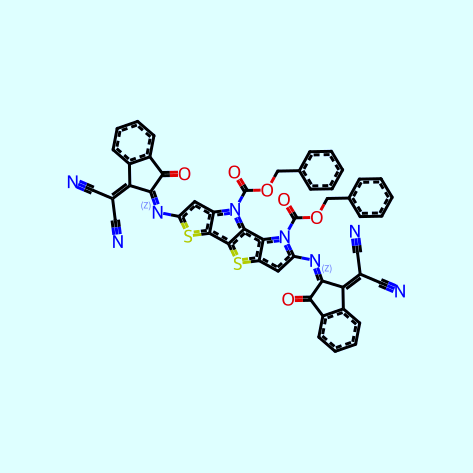 N#CC(C#N)=C1/C(=N/c2cc3c(s2)c2sc4cc(/N=C5\C(=O)c6ccccc6C5=C(C#N)C#N)n(C(=O)OCc5ccccc5)c4c2n3C(=O)OCc2ccccc2)C(=O)c2ccccc21